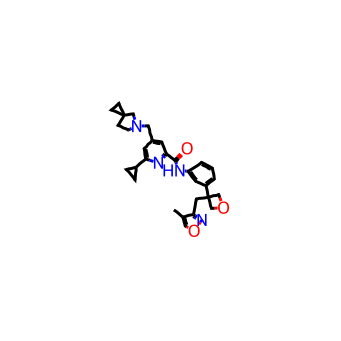 Cc1conc1CC1(c2cccc(NC(=O)c3cc(CN4CCC5(CC5)C4)cc(C4CC4)n3)c2)COC1